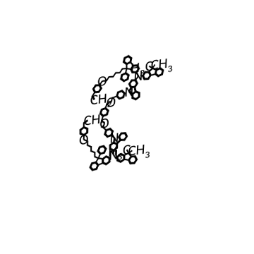 C=Cc1ccc(OCCCCCCC2(c3ccccc3)c3ccccc3-c3ccc(N(c4ccc5c(c4)C(C)(C)c4ccccc4-5)c4ccc5c(c4)c4ccccc4n5-c4ccc(COCc5ccc(COCc6ccc(-n7c8ccccc8c8cc(N(c9ccc%10c(c9)C(C)(C)c9ccccc9-%10)c9ccc%10c(c9)C(CCCCCCOc9ccc(C=C)cc9)(c9ccccc9)c9ccccc9-%10)ccc87)cc6)cc5)cc4)cc32)cc1